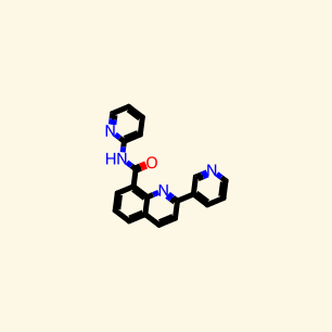 O=C(Nc1ccccn1)c1cccc2ccc(-c3cccnc3)nc12